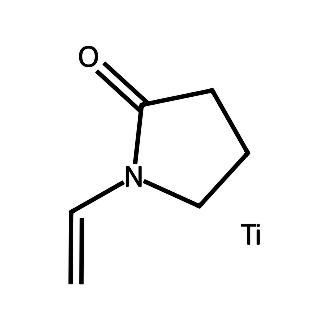 C=CN1CCCC1=O.[Ti]